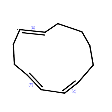 [C]1=C/CCCC/C=C\C=C\CC/1